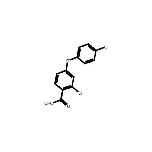 O=CC(=O)c1ccc(Oc2ccc(Cl)cc2)cc1Cl